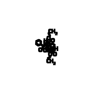 C=CCOC(=O)N[C@@]1(C(=O)N[C@H](C(=O)OC)c2ccccc2)CC[C@H]2[C@H](C(=O)OCC=C)[C@H]21